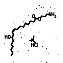 CCCCCC[C@@H](O)C/C=C\CCCCCCCC(=O)OCCCN.CN(C)C.Cl